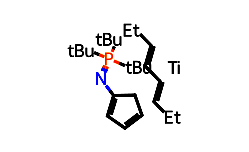 CC(C)(C)P(=NC1=CC=CC1)(C(C)(C)C)C(C)(C)C.CCC=CC=CCC.[Ti]